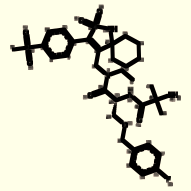 CCN(CC1=C(c2ccc(S(C)(=O)=O)cc2)S(=O)(=O)NC12CCCCC2)C(=O)[C@@H](COCc1ccc(F)cc1)NC(=O)C(C)(C)N